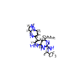 COc1nc(NC(C)C(F)(F)F)nc2[nH]cc(-c3ccn4nccc4n3)c12